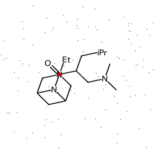 CCN1CC2CC(C1)N2C(=O)C(CC(C)C)CN(C)C